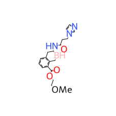 COCCOC(=O)c1cccc2c1CB[C@@H](NC(=O)CCn1ccnc1)C2